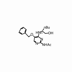 CCCC[C@@H](CO)Nc1nc(NC(C)=O)ncc1OCc1ccccc1